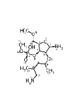 B[C@@H]1O[C@H](COC)[C@H](OP(=O)(O)OC)[C@@H]1OC(C)CC(C)CN